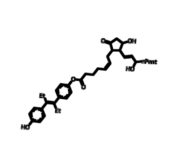 CCCCCC(O)/C=C/C1C(O)CC(=O)C1C/C=C\CCCC(=O)Oc1ccc(/C(CC)=C(\CC)c2ccc(O)cc2)cc1